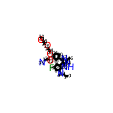 C=CCN(C)c1cc(F)cc2c1[nH]c1nc(C)nc(-c3ccc(OCCOCCOC)c(OCC#N)c3)c12